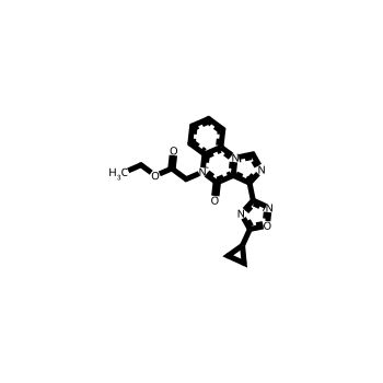 CCOC(=O)Cn1c(=O)c2c(-c3noc(C4CC4)n3)ncn2c2ccccc21